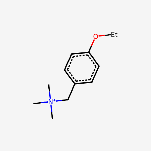 CCOc1ccc(C[N+](C)(C)C)cc1